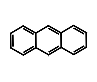 [c]1ccc2cc3c[c]ccc3[c]c2c1